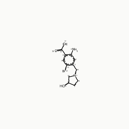 Nc1cc(CN2CCC(O)C2)c(Br)cc1C(=O)O